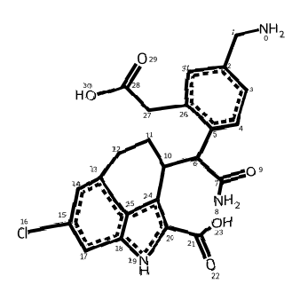 NCc1ccc(C(C(N)=O)C2CCc3cc(Cl)cc4[nH]c(C(=O)O)c2c34)c(CC(=O)O)c1